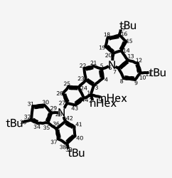 CCCCCCC1(CCCCCC)c2cc(-n3c4ccc(C(C)(C)C)cc4c4cc(C(C)(C)C)ccc43)ccc2-c2ccc(-n3c4ccc(C(C)(C)C)cc4c4cc(C(C)(C)C)ccc43)cc21